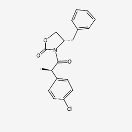 [CH2][C@@H](C(=O)N1C(=O)OC[C@@H]1Cc1ccccc1)c1ccc(Cl)cc1